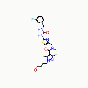 COCCCCn1nc(C)c(C(=O)N(C)Cc2csc(NC(=O)NCc3cccc(F)c3)n2)c1C